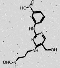 O=CNCCCNc1nc(Nc2cccc([N+](=O)O)c2)ncc1CO